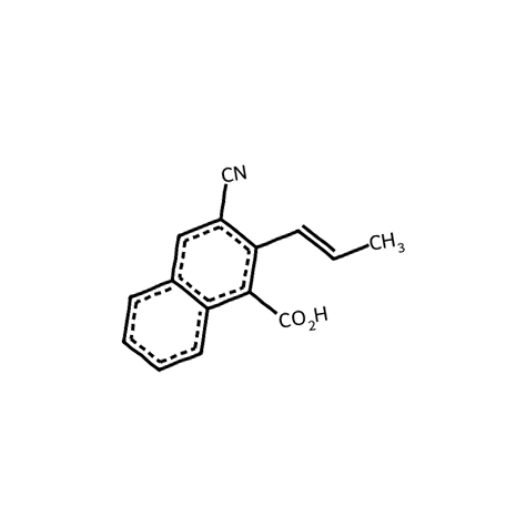 CC=Cc1c(C#N)cc2ccccc2c1C(=O)O